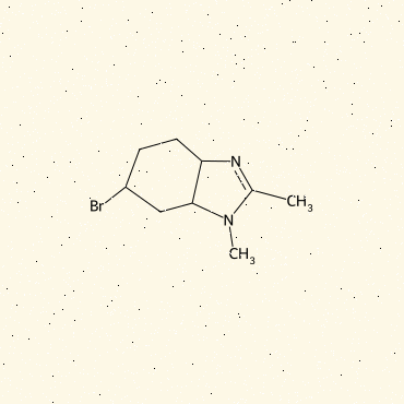 CC1=NC2CCC(Br)CC2N1C